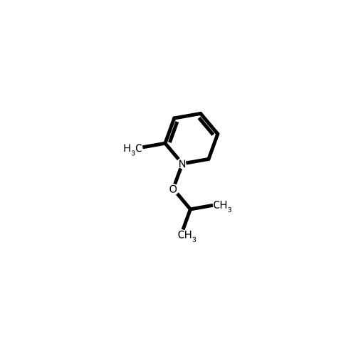 CC1=CC=CCN1OC(C)C